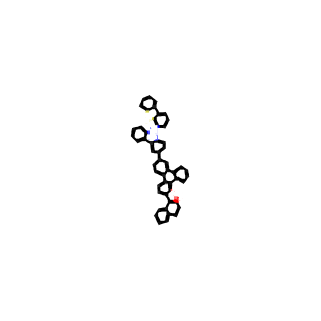 c1ccc2c(c1)ccc1oc3c(ccc4c5ccc(-c6ccc7c(c6)c6ccccc6n7-c6cccc7c6sc6ccccc67)cc5c5ccccc5c43)c12